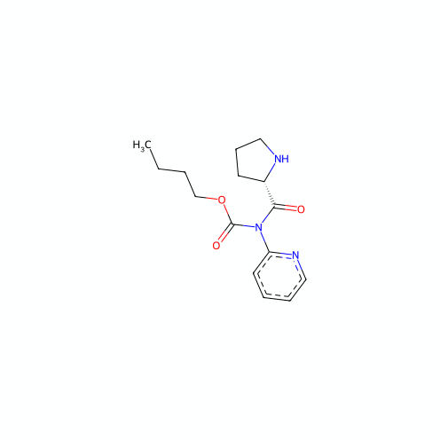 CCCCOC(=O)N(C(=O)[C@@H]1CCCN1)c1ccccn1